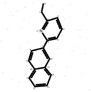 CCc1cccc(-c2ccc3ccccc3c2)n1